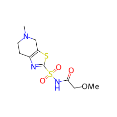 COCC(=O)NS(=O)(=O)c1nc2c(s1)CN(C)CC2